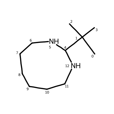 CC(C)(C)C1NCCCCCCN1